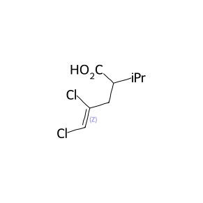 CC(C)C(C/C(Cl)=C/Cl)C(=O)O